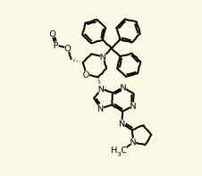 CN1CCC/C1=N\c1ncnc2c1ncn2[C@H]1CN(C(c2ccccc2)(c2ccccc2)c2ccccc2)C[C@@H](COP=O)O1